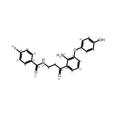 Nc1c(Oc2ccc(O)cc2)cccc1C(=O)CCNC(=O)c1ccc(F)cc1